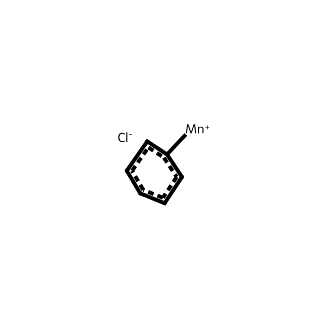 [Cl-].[Mn+][c]1ccccc1